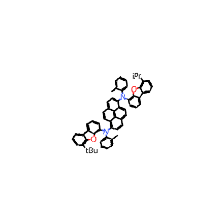 Cc1ccccc1N(c1ccc2ccc3c(N(c4ccccc4C)c4cccc5c4oc4c(C(C)(C)C)cccc45)ccc4ccc1c2c43)c1cccc2c1oc1c(C(C)C)cccc12